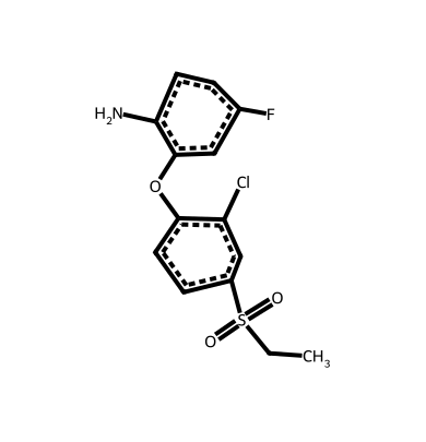 CCS(=O)(=O)c1ccc(Oc2cc(F)ccc2N)c(Cl)c1